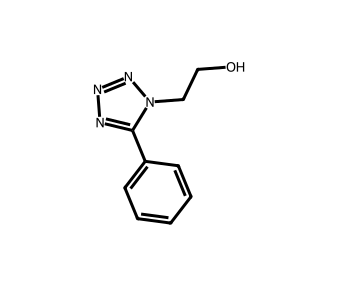 OCCn1nnnc1-c1ccccc1